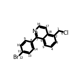 ClCc1cccc2c(-c3ccc(Br)cc3)nccc12